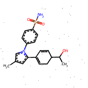 Cc1cc(C2=CCC(C(C)O)C=C2)n(-c2ccc(S(N)(=O)=O)cc2)c1